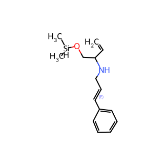 C=CC(CO[SiH](C)C)NC/C=C/c1ccccc1